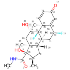 CNC(=O)[C@@]1(O)[C@H](C)C[C@H]2[C@@H]3C[C@H](F)C4=CC(=O)C=C[C@]4(C)[C@@]3(F)[C@@H](O)C[C@@]21C